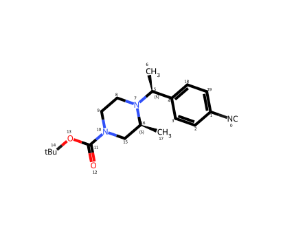 [C-]#[N+]c1ccc([C@H](C)N2CCN(C(=O)OC(C)(C)C)C[C@@H]2C)cc1